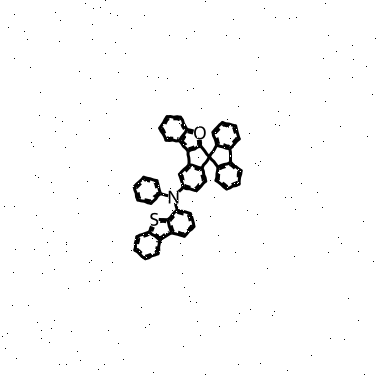 c1ccc(N(c2ccc3c(c2)-c2c(oc4ccccc24)C32c3ccccc3-c3ccccc32)c2cccc3c2sc2ccccc23)cc1